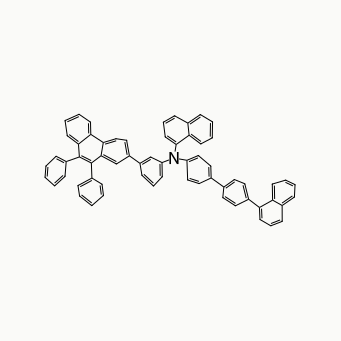 c1ccc(-c2c(-c3ccccc3)c3cc(-c4cccc(N(c5ccc(-c6ccc(-c7cccc8ccccc78)cc6)cc5)c5cccc6ccccc56)c4)ccc3c3ccccc23)cc1